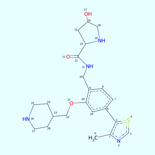 Cc1ncsc1-c1ccc(CNC(=O)C2CC(O)CN2)c(OCC2CCNCC2)c1